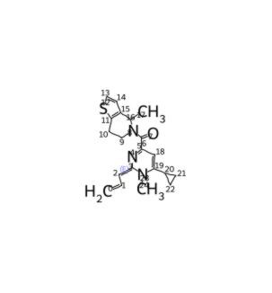 C=C/C=C1/N=C(C(=O)N2CCc3sccc3C2C)C=C(C2CC2)N1C